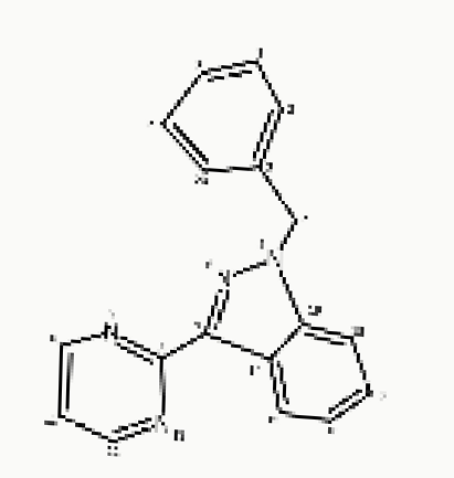 c1ccc(Cn2nc(-c3ncccn3)c3ccccc32)cc1